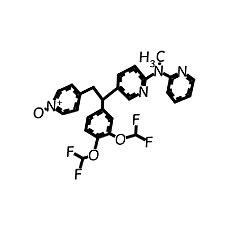 CN(c1ccccn1)c1ccc(C(Cc2cc[n+]([O-])cc2)c2ccc(OC(F)F)c(OC(F)F)c2)cn1